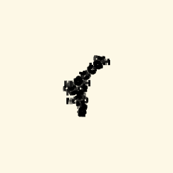 C=CC(=O)Nc1cc(Nc2nc(-c3ccnc(N4CCn5c(cc6c5CC(C)(C)C6)C4=O)c3CO)cnc2OC)ccc1N1CCN(C2CCN(c3ccc4c(c3)OC[C@@H](C)N4)[C@H](C)C2)C[C@@H]1C